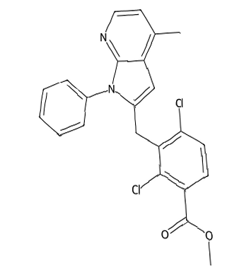 COC(=O)c1ccc(Cl)c(Cc2cc3c(C)ccnc3n2-c2ccccc2)c1Cl